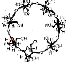 OC[C@H]1OC2OC3[C@@H](CO)OC(O[C@H]4[C@H](O)[C@@H](O)C(O[C@H]5[C@H](O)[C@@H](O)C(O[C@H]6[C@H](O)[C@@H](O)C(OC7[C@@H](CO)OC(O[C@H]8[C@H](O)[C@@H](O)C(OC1[C@H](O)[C@H]2O)O[C@@H]8CO)[C@H](O)[C@H]7O)O[C@@H]6CO)O[C@@H]5CO)O[C@@H]4CO)[C@H](O)[C@H]3O